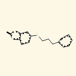 O=c1[nH]c2ccc(NCCCc3ccccc3)cc2s1